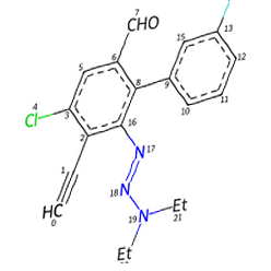 C#Cc1c(Cl)cc(C=O)c(-c2cccc(F)c2)c1N=NN(CC)CC